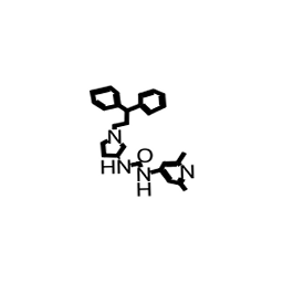 Cc1cc(NC(=O)N[C@@H]2CCN(CCC(c3ccccc3)c3ccccc3)C2)cc(C)n1